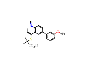 C=Nc1ccc(-c2cccc(OC(C)C)c2)cc1/C(=C\C)SC(C)(C)C(=O)OCC